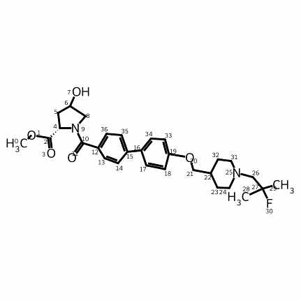 COC(=O)[C@@H]1CC(O)CN1C(=O)c1ccc(-c2ccc(OCC3CCN(CC(C)(C)F)CC3)cc2)cc1